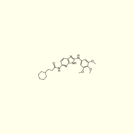 COc1cc(Nc2nc3ccc(NC(=O)CCC4CCCCC4)nc3[nH]2)cc(OC)c1OC